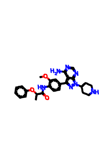 COc1cc(-c2nn(C3CCNCC3)c3ncnc(N)c23)ccc1NC(=O)C(C)Oc1ccccc1